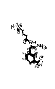 CS(=O)(=O)CCCC(=O)N[C@H]1Cc2cccc(C(=O)O)c2OB1N=O